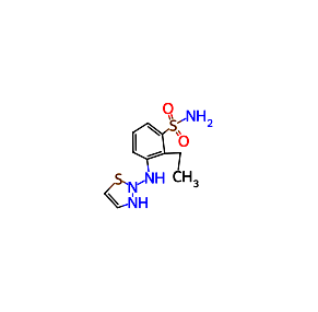 CCc1c(NN2NC=CS2)cccc1S(N)(=O)=O